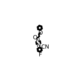 N#Cc1cc(F)ccc1N1CCN(C(=O)CCOc2ccccc2)CC1